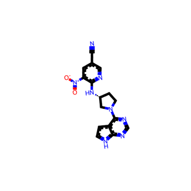 N#Cc1cnc(N[C@@H]2CCN(c3ncnc4[nH]ccc34)C2)c([N+](=O)[O-])c1